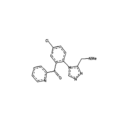 CNCc1nncn1-c1ccc(Cl)cc1C(=O)c1ccccn1